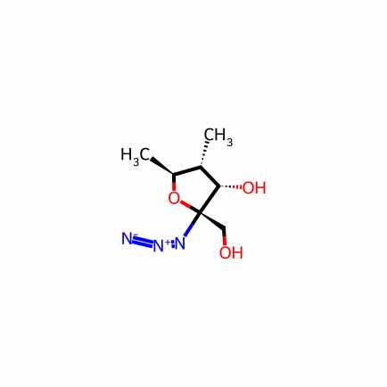 C[C@H]1[C@H](C)O[C@@](CO)(N=[N+]=[N-])[C@H]1O